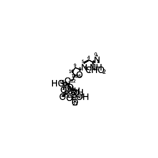 C/N=C(N)\C=C/N(C=O)[C@H]1CCC(COP(=O)(O)OP(=O)(O)OP(=O)(O)O)O1